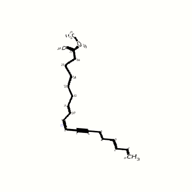 CCCCCCC#C/C=C\CCCCCCCC(=O)OC